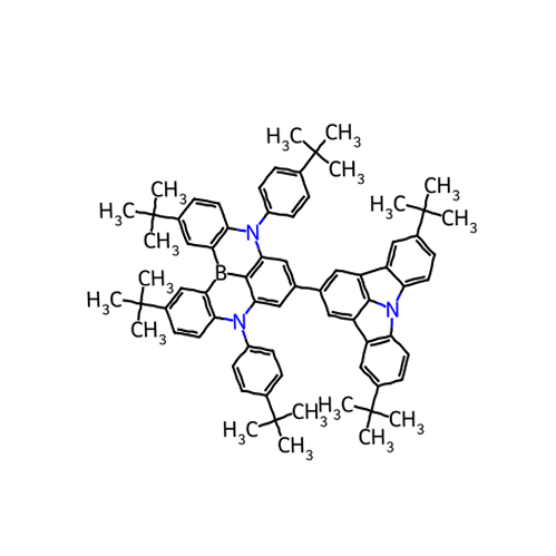 CC(C)(C)c1ccc(N2c3ccc(C(C)(C)C)cc3B3c4cc(C(C)(C)C)ccc4N(c4ccc(C(C)(C)C)cc4)c4cc(-c5cc6c7cc(C(C)(C)C)ccc7n7c8ccc(C(C)(C)C)cc8c(c5)c67)cc2c43)cc1